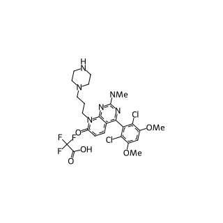 CNc1nc(-c2c(Cl)c(OC)cc(OC)c2Cl)c2ccc(=O)n(CCCN3CCNCC3)c2n1.O=C(O)C(F)(F)F